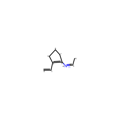 C=CC1=C(/N=C\C)CCC1